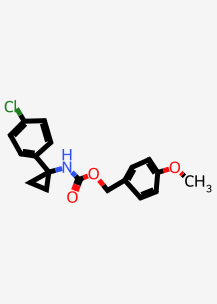 COc1ccc(COC(=O)NC2(c3ccc(Cl)cc3)CC2)cc1